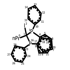 CCCC(I)(P(c1ccccc1)c1ccccc1)P(c1ccccc1)c1ccccc1